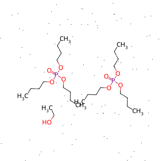 CCCCOP(=O)(OCCCC)OCCCC.CCCCOP(=O)(OCCCC)OCCCC.CCO